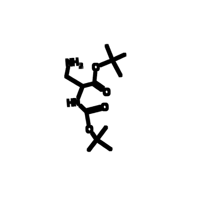 CC(C)(C)OC(=O)NC(CN)C(=O)OC(C)(C)C